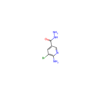 NNC(=O)c1cnc(N)c(Br)c1